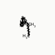 CCCCCCCCCC(C)COC(=O)n1c(-c2cscn2)nc2ccccc21